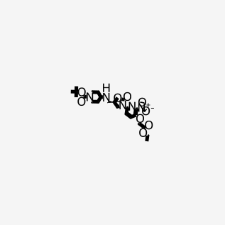 CCOC(=O)COc1ccc(N2C[C@@H](CNC3CCN(C(=O)OC(C)(C)C)CC3)OC2=O)nc1[N+](=O)[O-]